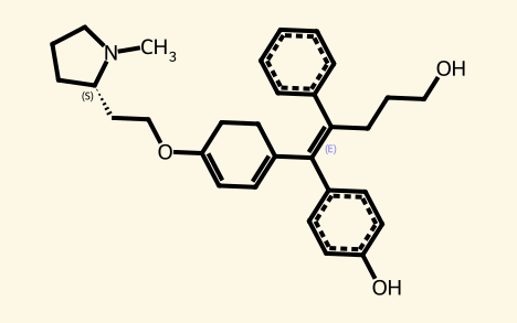 CN1CCC[C@H]1CCOC1=CC=C(/C(=C(/CCCO)c2ccccc2)c2ccc(O)cc2)CC1